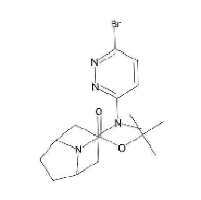 CN(c1ccc(Br)nn1)C1CC2CCC(C1)N2C(=O)OC(C)(C)C